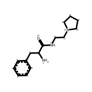 NC(Cc1ccccc1)C(=O)NCCN1CCCC1